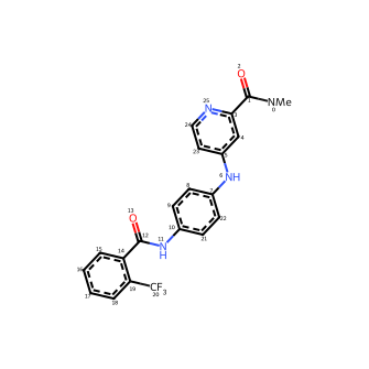 CNC(=O)c1cc(Nc2ccc(NC(=O)c3ccccc3C(F)(F)F)cc2)ccn1